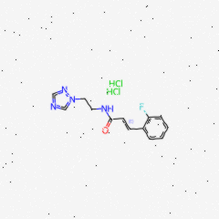 Cl.Cl.O=C(/C=C/c1ccccc1F)NCCn1cncn1